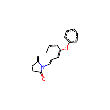 C=C1CCC(=O)N1/C=C/C=C(\C=C/C)Oc1ccccc1